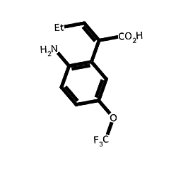 CC/C=C(/C(=O)O)c1cc(OC(F)(F)F)ccc1N